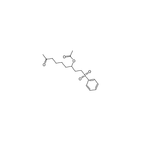 CC(=O)CCCCC(CCS(=O)(=O)c1ccccc1)OC(C)=O